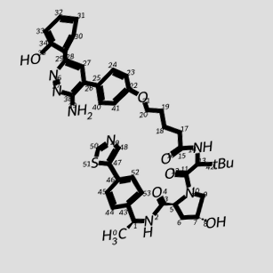 C[C@H](NC(=O)[C@@H]1C[C@@H](O)CN1C(=O)C(NC(=O)CCCCOc1ccc(-c2cc(-c3ccccc3O)nnc2N)cc1)C(C)(C)C)c1ccc(-c2cncs2)cc1